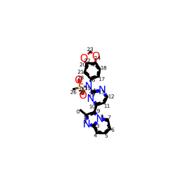 Cc1nc2ccccn2c1-c1ccnc(N(c2ccc3c(c2)OCO3)S(C)(=O)=O)n1